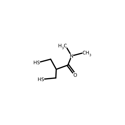 CN(C)C(=O)C(CS)CS